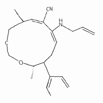 C=CCNC1=C/CC(/C(C=C)=C/C)[C@H](C)OCCCC(C)/C=C\1C#N